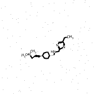 CCc1cnc(CNC[C@H]2CC[C@H](C#CCN(C)C)CC2)nc1